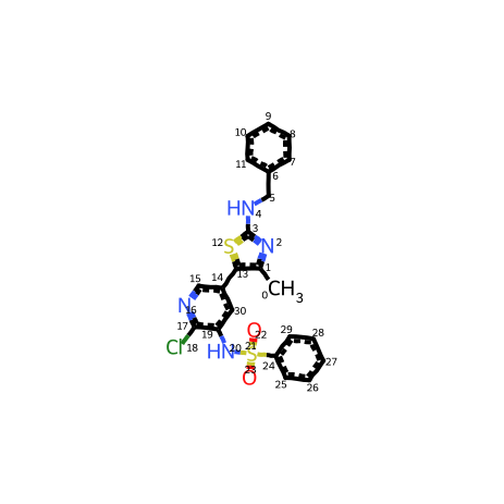 Cc1nc(NCc2ccccc2)sc1-c1cnc(Cl)c(NS(=O)(=O)c2ccccc2)c1